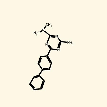 CN(C)c1nc(N)nc(-c2ccc(-c3ccccc3)cc2)n1